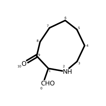 O=CC1NCCCCCCC1=O